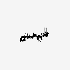 O=C(NCC[C@H]1C[C@@H]1c1cncc(OC[C@@H]2CCN2)c1)c1ccccc1